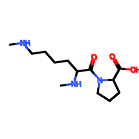 CNCCCCC(NC)C(=O)N1CCCC1C(=O)O